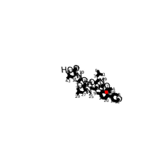 CC(C)C[C@@H](C(=O)O[C@H](Cc1ccc(C2CCOCC2)cc1)C(=O)N(C)[C@@H](CC(C)C)C(=O)O[C@H](C)C(=O)N(C)[C@@H](CC(C)C)C(=O)O)N(C)C(=O)OC(C)(C)C